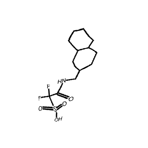 O=C(NCC1CCC2CCCCC2C1)C(F)(F)S(=O)(=O)O